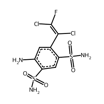 Nc1cc(C(Cl)=C(F)Cl)c(S(N)(=O)=O)cc1S(N)(=O)=O